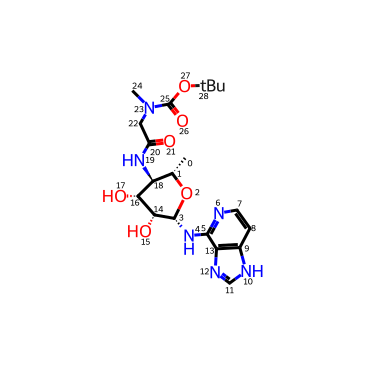 C[C@@H]1O[C@H](Nc2nccc3[nH]cnc23)[C@H](O)[C@H](O)[C@H]1NC(=O)CN(C)C(=O)OC(C)(C)C